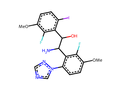 COc1ccc(-n2cncn2)c(C(N)C(O)c2c(I)ccc(OC)c2F)c1F